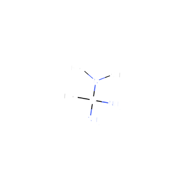 CN(C)[Si](C)(N)N